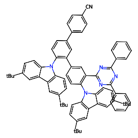 CC(C)(C)c1ccc2c(c1)c1cc(C(C)(C)C)ccc1n2-c1ccc(-c2ccc(C#N)cc2)cc1-c1ccc(-n2c3ccc(C(C)(C)C)cc3c3cc(C(C)(C)C)ccc32)c(-c2nc(-c3ccccc3)nc(-c3ccccc3)n2)c1